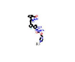 CN1CCN(CCOC(=O)Nc2nc3cc(-c4cc(Cc5n[nH]c(=O)c6ccccc56)ccc4F)ccc3[nH]2)CC1